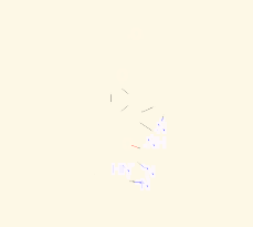 Cc1ccc(OCC2CCOCC2)cc1-c1cc(NC(=O)c2nnc(CC3CCCCC3)[nH]2)ncc1F